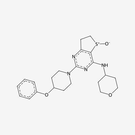 [O-][S+]1CCc2nc(N3CCC(Oc4ccccc4)CC3)nc(NC3CCOCC3)c21